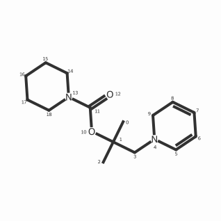 CC(C)(CN1C=CC=CC1)OC(=O)N1CCCCC1